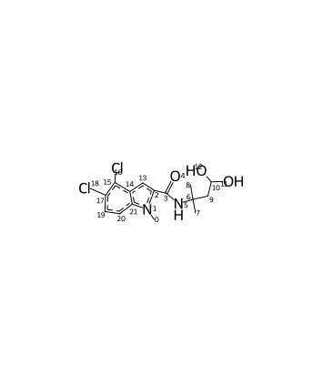 Cn1c(C(=O)NC(C)(C)CC(O)O)cc2c(Cl)c(Cl)ccc21